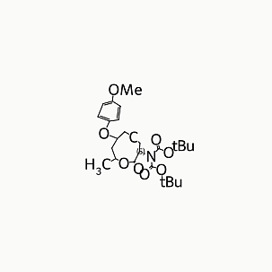 COc1ccc(OC2CCC[C@H](N(C(=O)OC(C)(C)C)C(=O)OC(C)(C)C)C(=O)OC(C)C2)cc1